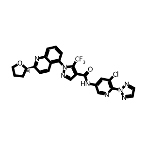 O=C(Nc1cnc(-n2nccn2)c(Cl)c1)c1cnn(-c2cccc3nc([C@H]4CCCO4)ccc23)c1C(F)(F)F